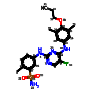 Cc1ccc(Nc2ncc(F)c(Nc3cc(C)c(OCCC#N)c(C)c3)n2)cc1S(N)(=O)=O